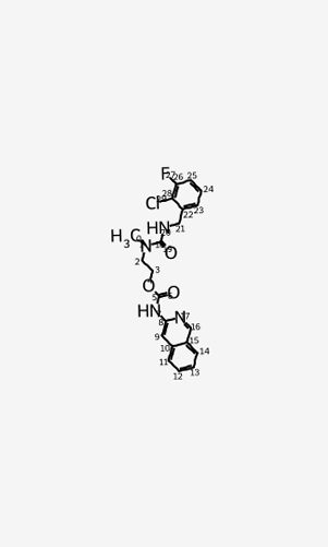 CN(CCOC(=O)Nc1cc2ccccc2cn1)C(=O)NCc1cccc(F)c1Cl